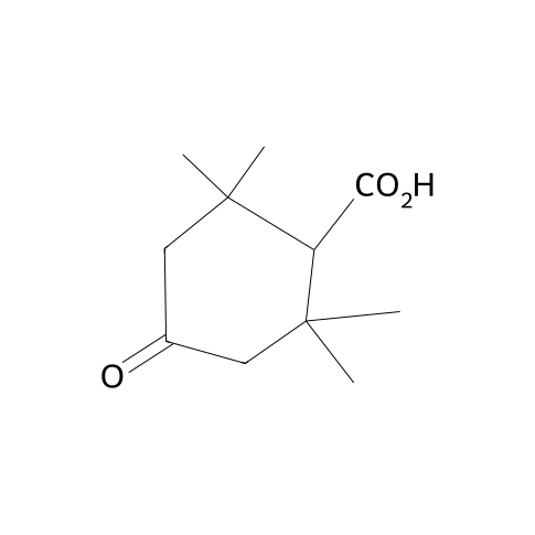 CC1(C)CC(=O)CC(C)(C)C1C(=O)O